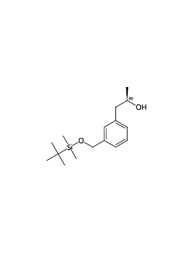 C[C@@H](O)Cc1cccc(CO[Si](C)(C)C(C)(C)C)c1